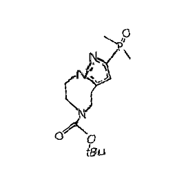 CC(C)(C)OC(=O)N1CCn2nc(P(C)(C)=O)cc2C1